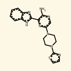 Nc1ncc(N2CCN(c3nccs3)CC2)nc1-c1nc2ccccc2[nH]1